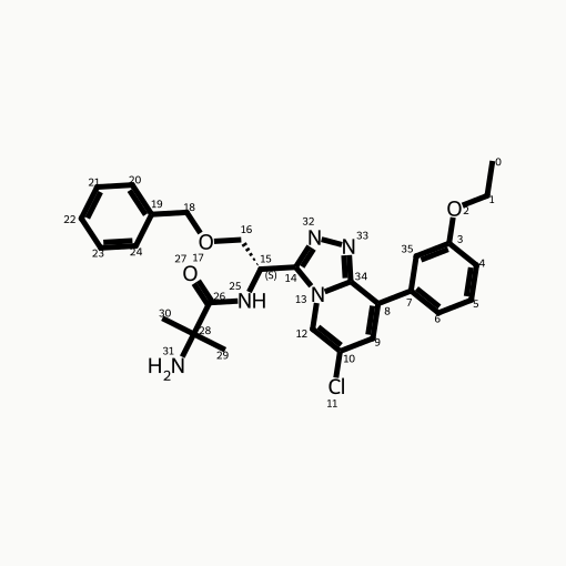 CCOc1cccc(-c2cc(Cl)cn3c([C@@H](COCc4ccccc4)NC(=O)C(C)(C)N)nnc23)c1